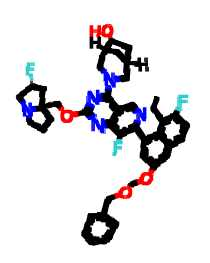 CCc1c(F)ccc2cc(OCOCc3ccccc3)cc(-c3ncc4c(N5C[C@@H]6C[C@H](C5)[C@H](O)C6)nc(OC[C@@]56CCCN5C[C@H](F)C6)nc4c3F)c12